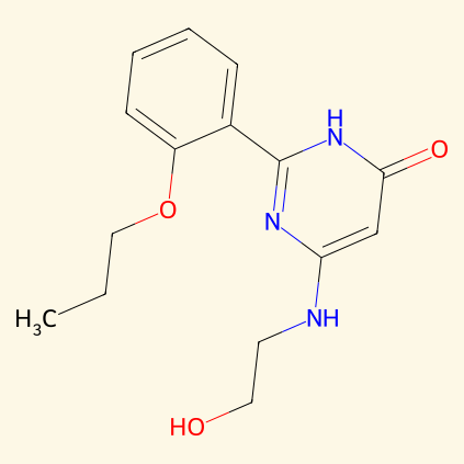 CCCOc1ccccc1-c1nc(NCCO)cc(=O)[nH]1